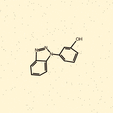 Oc1[c]ccc(-n2nnc3ccccc32)c1